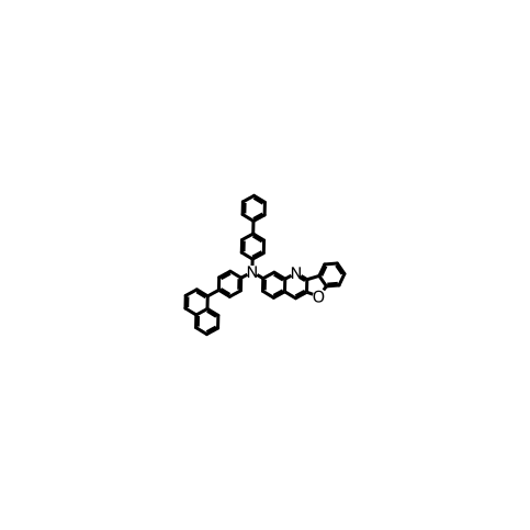 c1ccc(-c2ccc(N(c3ccc(-c4cccc5ccccc45)cc3)c3ccc4cc5oc6ccccc6c5nc4c3)cc2)cc1